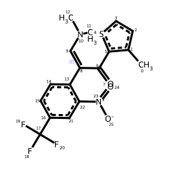 Cc1ccsc1C(=O)/C(=C\N(C)C)c1ccc(C(F)(F)F)cc1[N+](=O)[O-]